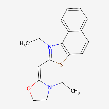 CCN1CCOC1=Cc1sc2ccc3ccccc3c2[n+]1CC